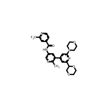 Cc1ncc(NC(=O)c2ccnc(C(F)(F)F)c2)cc1-c1cc(C2COCCO2)nc(N2CCOCC2)c1